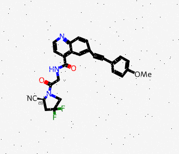 COc1ccc(C#Cc2ccc3nccc(C(=O)NCC(=O)N4CC(F)(F)C[C@H]4C#N)c3c2)cc1